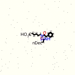 CCCCCCCCCCCC(=O)N[C@@H](C(=O)NCCCCCC(=O)O)c1ccccc1